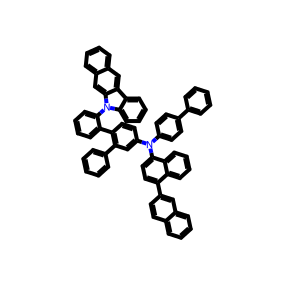 c1ccc(-c2ccc(N(c3ccc(-c4ccccc4-n4c5ccccc5c5cc6ccccc6cc54)c(-c4ccccc4)c3)c3ccc(-c4ccc5ccccc5c4)c4ccccc34)cc2)cc1